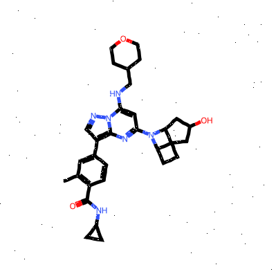 Cc1cc(-c2cnn3c(NCC4CCOCC4)cc(N4C5CCC56CC(O)CC46)nc23)ccc1C(=O)NC1CC1